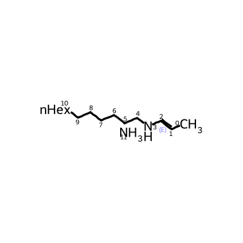 C/C=C/NCCCCCCCCCCCC.N